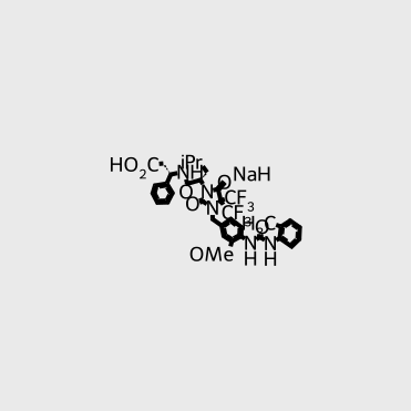 COc1cc(CN2C(=O)N([C@@H](CC(C)C)C(=O)N[C@@H](CC(=O)O)c3ccccc3)C(=O)C2(C(F)(F)F)C(F)(F)F)ccc1NC(=O)Nc1ccccc1C.[NaH]